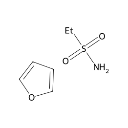 CCS(N)(=O)=O.c1ccoc1